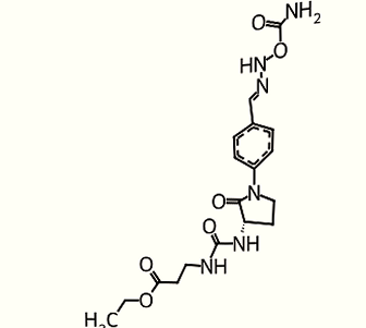 CCOC(=O)CCNC(=O)N[C@H]1CCN(c2ccc(C=NNOC(N)=O)cc2)C1=O